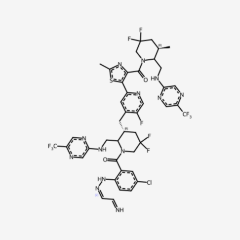 Cc1nc(C(=O)N2CC(F)(F)C[C@@H](C)C2CNc2cnc(C(F)(F)F)cn2)c(-c2cc(C[C@@H]3CC(F)(F)CN(C(=O)c4cc(Cl)ccc4N/N=C\C=N)C3CNc3cnc(C(F)(F)F)cn3)c(F)cn2)s1